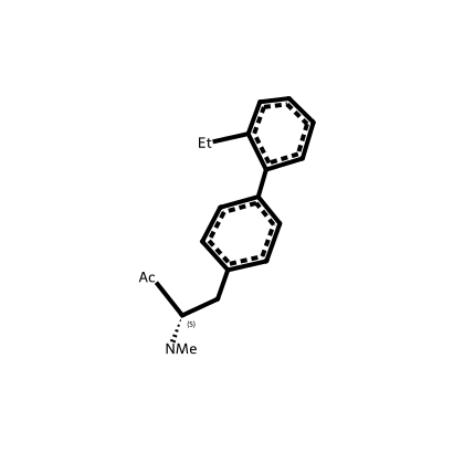 CCc1ccccc1-c1ccc(C[C@H](NC)C(C)=O)cc1